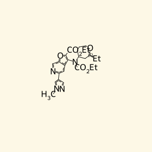 CCOC(=O)c1oc2cnc(-c3cnn(C)c3)cc2c1N(C(=O)OCC)C1CCCO[C@@H](CC)C1